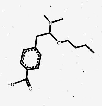 CCCCOC(Cc1ccc(C(=O)O)cc1)N(C)C